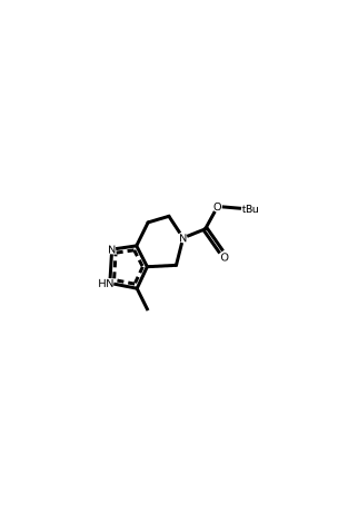 Cc1[nH]nc2c1CN(C(=O)OC(C)(C)C)CC2